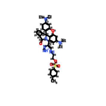 CCN(CC)c1ccc2c(c1)Oc1cc(N(CC)CC)ccc1C21c2ccccc2C(=O)N1C/C(=C/NCCOS(=O)(=O)c1ccc(C)cc1)N=N